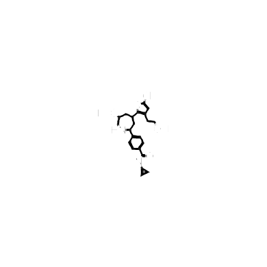 CC1CNC(c2ccc(C(=O)NC3CC3)cc2)CC(c2sc(Cl)cc2CCO)C1